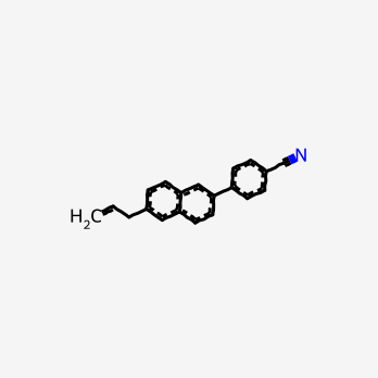 C=CCc1ccc2cc(-c3ccc(C#N)cc3)ccc2c1